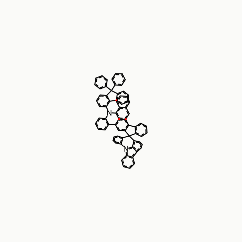 c1ccc(C2(c3ccccc3)c3ccccc3-c3c(N(c4ccccc4-c4ccc5c(c4)C4(c6ccccc6-5)c5ccccc5-n5c6ccccc6c6cccc4c65)c4cccc5ccccc45)cccc32)cc1